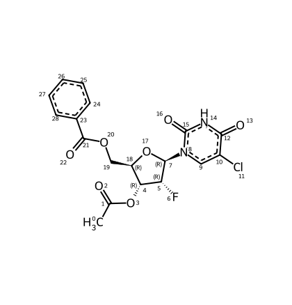 CC(=O)O[C@H]1[C@@H](F)[C@H](n2cc(Cl)c(=O)[nH]c2=O)O[C@@H]1COC(=O)c1ccccc1